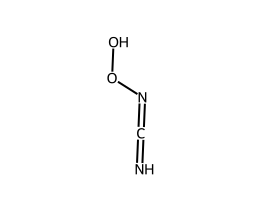 N=C=NOO